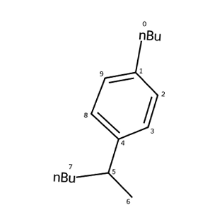 CCCCc1ccc(C(C)CCCC)cc1